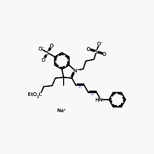 CCOC(=O)CCCC1(C)C(/C=C/C=C/Nc2ccccc2)=[N+](CCCS(=O)(=O)[O-])c2ccc(S(=O)(=O)[O-])cc21.[Na+]